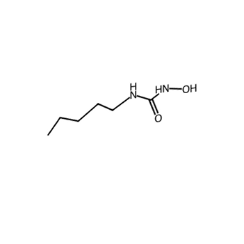 CCCCCNC(=O)NO